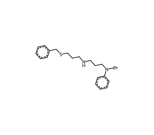 CC(C)N(CCCNCCCSCc1ccccc1)c1ccccc1